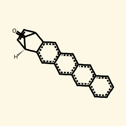 O=C1C2C=C[C@@H]1c1cc3cc4cc5ccccc5cc4cc3cc12